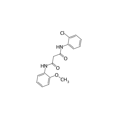 COc1ccccc1NC(=O)CC(=O)Nc1ccccc1Cl